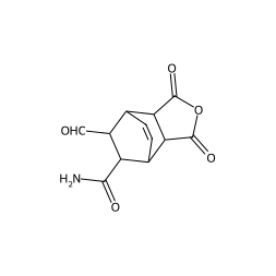 NC(=O)C1C(C=O)C2C=CC1C1C(=O)OC(=O)C21